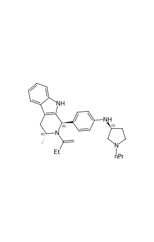 C=C(CC)N1[C@H](c2ccc(N[C@H]3CCN(CCC)C3)cc2)c2[nH]c3ccccc3c2C[C@H]1C